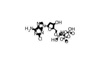 Nc1nc(Cl)nc2c1ncn2[C@H]1CC(O)[C@@H](COP(=O)(O)OP(=O)(O)OP(=O)(O)O)O1